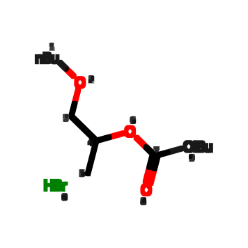 Br.CCCCOCC(C)OC(=O)OCC(C)C